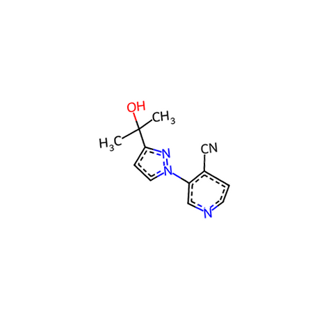 CC(C)(O)c1ccn(-c2cnccc2C#N)n1